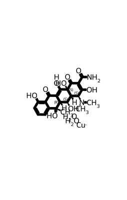 CN(C)[C@@H]1C(O)=C(C(N)=O)C(=O)[C@@]2(O)C(O)=C3C(=O)c4c(O)cccc4[C@@](C)(O)[C@H]3[C@H](O)[C@@H]12.O.O.[Cu]